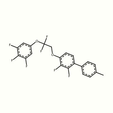 Cc1ccc(-c2ccc(OCC(F)(F)Oc3cc(F)c(F)c(F)c3)c(F)c2F)cc1